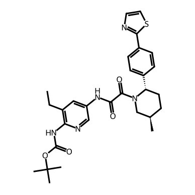 CCc1cc(NC(=O)C(=O)N2C[C@H](C)CC[C@H]2c2ccc(-c3nccs3)cc2)cnc1NC(=O)OC(C)(C)C